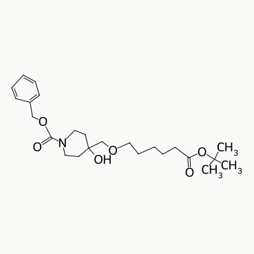 CC(C)(C)OC(=O)CCCCCOCC1(O)CCN(C(=O)OCc2ccccc2)CC1